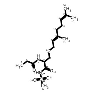 CCC(=O)NC(CSC/C=C(\C)CCC=C(C)C)C(=O)NS(C)(=O)=O